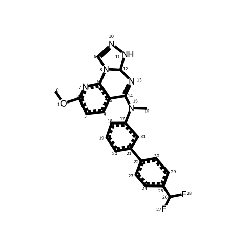 COc1ccc2c(n1)N1C=NNC1N=C2N(C)c1cccc(-c2ccc(C(F)F)cc2)c1